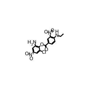 CCNc1ccc(C(=O)Oc2c(N)cc([N+](=O)[O-])cc2Cl)cc1[N+](=O)[O-]